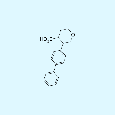 O=C(O)C1CCOCC1c1ccc(-c2ccccc2)cc1